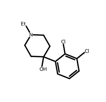 CCN1CCC(O)(c2cccc(Cl)c2Cl)CC1